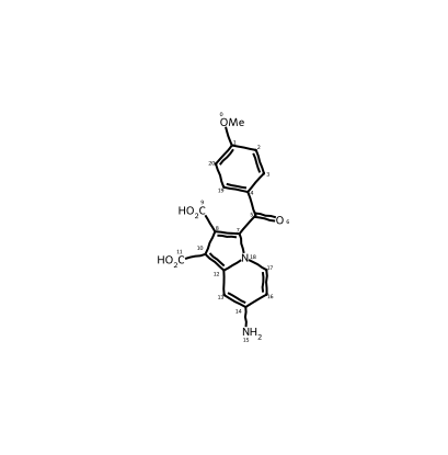 COc1ccc(C(=O)c2c(C(=O)O)c(C(=O)O)c3cc(N)ccn23)cc1